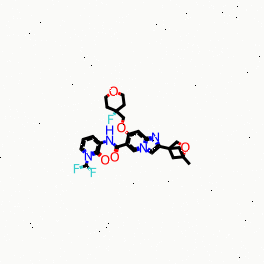 CC12CC(c3cn4cc(C(=O)Nc5cccn(C(F)F)c5=O)c(OCC5(F)CCOCC5)cc4n3)(CO1)C2